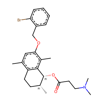 Cc1cc(OCc2ccccc2Br)c(C)c2c1CC[C@@H](C)[C@H]2OC(=O)CCN(C)C